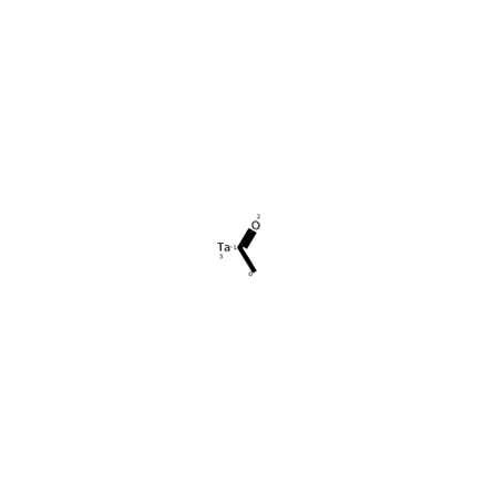 CC=O.[Ta]